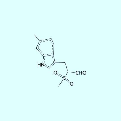 Cc1ccc2c(CC(C=O)S(C)(=O)=O)c[nH]c2c1